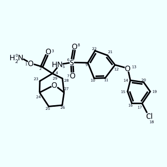 NOC(=O)C1(NS(=O)(=O)c2ccc(Oc3ccc(Cl)cc3)cc2)CC2CCC(C1)O2